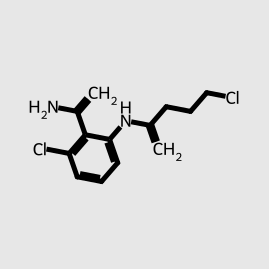 C=C(CCCCl)Nc1cccc(Cl)c1C(=C)N